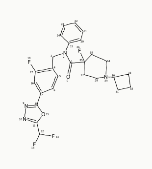 O=C(N(Cc1ccc(-c2nnc(C(F)F)o2)cc1F)c1ccccc1)C1(F)CCN(C2CCC2)CC1